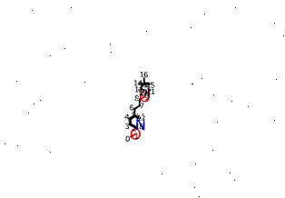 COc1ccc(CCCO[Si](C)(C)C(C)(C)C)cn1